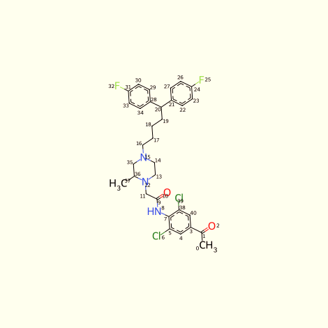 CC(=O)c1cc(Cl)c(NC(=O)CN2CCN(CCCCC(c3ccc(F)cc3)c3ccc(F)cc3)CC2C)c(Cl)c1